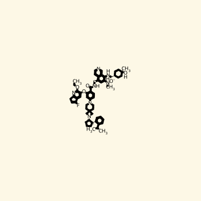 CCOc1nc2c(cc1Oc1cc(N3CCC4(CC3)CN([C@H]3CCC[C@H]3c3ccccc3C(C)C)C4)ccc1C(=O)NSc1cc([NH+](C)[O-])c(NC[C@H]3CC[C@](C)(O)CC3)c3cnccc13)C(F)=CC2